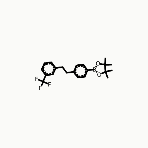 CC1(C)OB(c2ccc(CCc3cccc(C(F)(F)F)c3)cc2)OC1(C)C